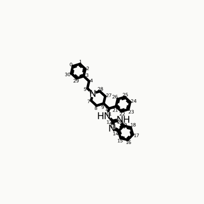 c1ccc(CCN2CCC(C(Nc3nc4ccccc4[nH]3)c3ccccc3)CC2)cc1